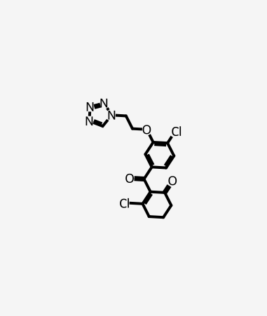 O=C1CCCC(Cl)=C1C(=O)c1ccc(Cl)c(OCCn2cnnn2)c1